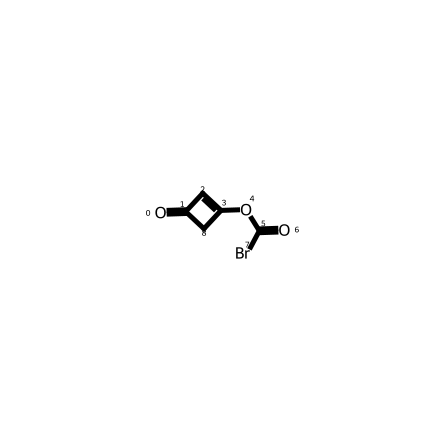 O=C1C=C(OC(=O)Br)C1